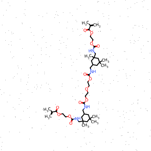 C=C(C)C(=O)OCCOC(=O)NCC1(C)CC(CNC(=O)OCCOCCOC(=O)NCC2CC(C)(C)CC(C)(CNC(=O)OCCOC(=O)C(=C)C)C2)CC(C)(C)C1